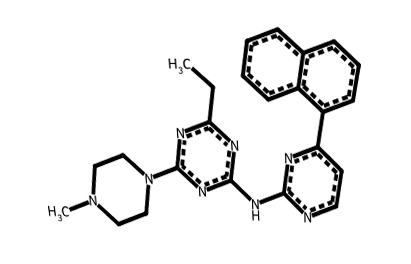 CCc1nc(Nc2nccc(-c3cccc4ccccc34)n2)nc(N2CCN(C)CC2)n1